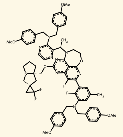 COc1ccc(CN(Cc2ccc(OC)cc2)c2cc(C)cc(-c3nc4c5c(nc(OC[C@@]67CCCN6C[C@]6(CC6(F)F)C7)nc5c3F)N([C@H](C)c3nccnc3N(Cc3ccc(OC)cc3)Cc3ccc(OC)cc3)CCO4)c2F)cc1